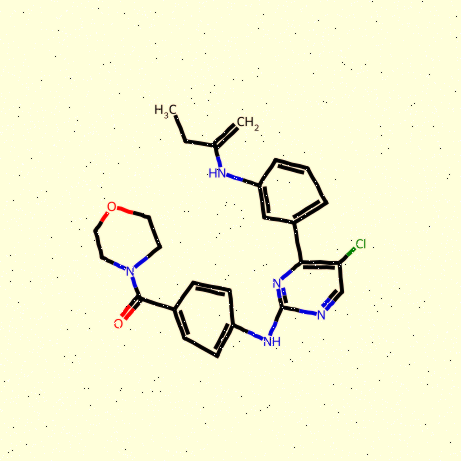 C=C(CC)Nc1cccc(-c2nc(Nc3ccc(C(=O)N4CCOCC4)cc3)ncc2Cl)c1